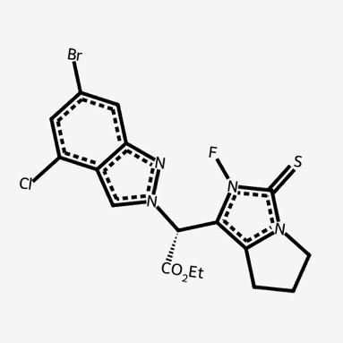 CCOC(=O)[C@@H](c1c2n(c(=S)n1F)CCC2)n1cc2c(Cl)cc(Br)cc2n1